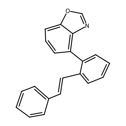 C(=Cc1ccccc1-c1cccc2ocnc12)c1ccccc1